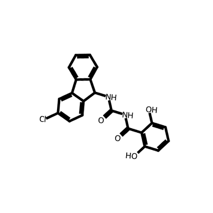 O=C(NC(=O)c1c(O)cccc1O)NC1c2ccccc2-c2cc(Cl)ccc21